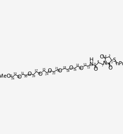 CCCSC1CC(=O)N(CCC(=O)NCCOCCOCCOCCOCCOCCOCCOCCOC)C1=O